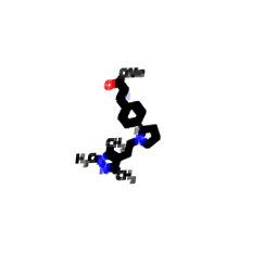 COC(=O)/C=C/c1ccc([C@@H]2CCCN2CCc2c(C)nn(C)c2C)cc1